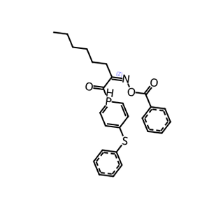 CCCCCC/C(=N/OC(=O)c1ccccc1)C(=O)[PH]1=CC=C(Sc2ccccc2)C=C1